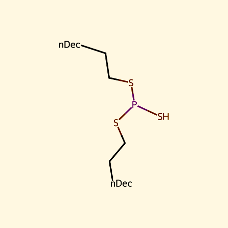 CCCCCCCCCCCCSP(S)SCCCCCCCCCCCC